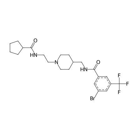 O=C(NCC1CCN(CCNC(=O)C2CCCC2)CC1)c1cc(Br)cc(C(F)(F)F)c1